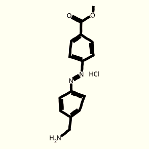 COC(=O)c1ccc(N=Nc2ccc(CN)cc2)cc1.Cl